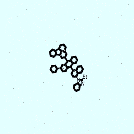 CCc1nc2ccccc2n1-c1ccc(-c2c3ccccc3c(-c3cc4c5c(cccc5c3)-c3ccccc3-4)c3cc(-c4ccccc4)ccc23)c2ccccc12